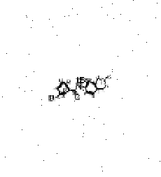 CN1CCc2ccc(N(C(=O)c3cccc(Br)c3)C(C)(C)C)cc2C1